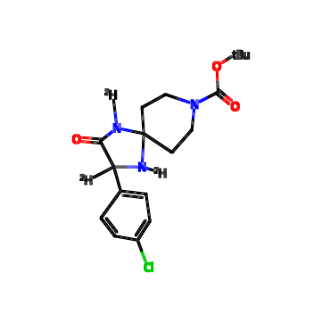 [2H]N1C(=O)C([2H])(c2ccc(Cl)cc2)N([2H])C12CCN(C(=O)OC(C)(C)C)CC2